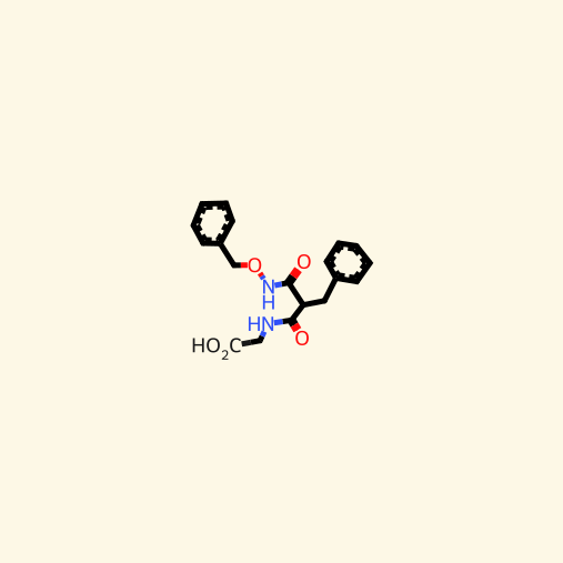 O=C(O)CNC(=O)C(Cc1ccccc1)C(=O)NOCc1ccccc1